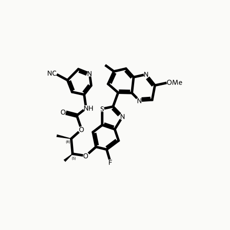 COc1cnc2c(-c3nc4cc(F)c(O[C@@H](C)[C@@H](C)OC(=O)Nc5cncc(C#N)c5)cc4s3)cc(C)cc2n1